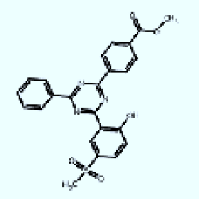 COC(=O)c1ccc(-c2nc(-c3ccccc3)nc(-c3cc(S(C)(=O)=O)ccc3O)n2)cc1